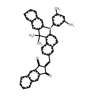 Cc1cc(C)cc(N2c3cc4ccccc4cc3C(C)(C)c3c2ccc2cc(C=C4C(=O)c5cc6ccccc6cc5C4=O)ccc32)c1